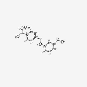 COC(=O)c1ccc(COc2cccc(C[O])c2)cc1